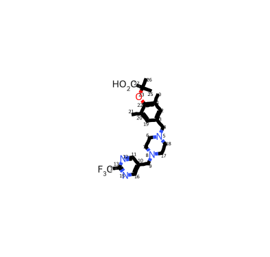 Cc1cc(CN2CCN(Cc3cnc(C(F)(F)F)nc3)CC2)cc(C)c1OC(C)(C)C(=O)O